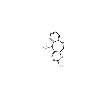 CN1C(=O)C(NC(=O)O)COc2cccnc21